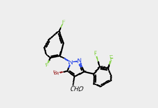 O=Cc1c(-c2cccc(F)c2F)nn(-c2cc(F)ccc2F)c1Br